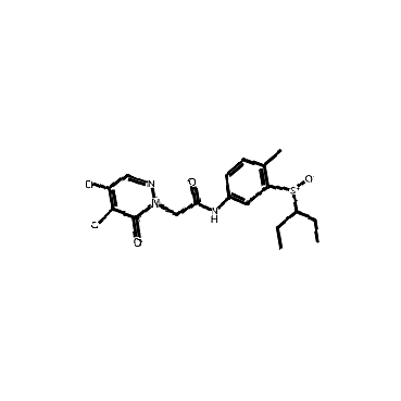 CCC(CC)[S+]([O-])c1cc(NC(=O)Cn2ncc(Cl)c(Cl)c2=O)ccc1C